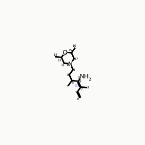 C=C/C(C)=C(/N)C(C)CCN1CC(C)OC(C)C1